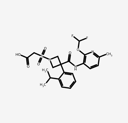 Cc1ccc(NC(=O)C2(c3ccccc3C(C)C)CN(S(=O)(=O)CC(=O)O)C2)c(OC(F)F)n1